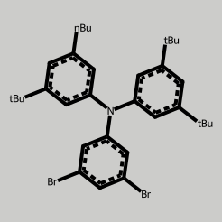 CCCCc1cc(N(c2cc(Br)cc(Br)c2)c2cc(C(C)(C)C)cc(C(C)(C)C)c2)cc(C(C)(C)C)c1